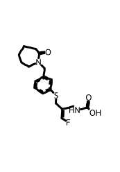 O=C(O)NC/C(=C\F)CSc1cccc(CN2CCCCCC2=O)c1